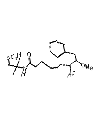 COC(CC1CCCCC1)C(CCCCC(=O)NC(C)(C)CS(=O)(=O)O)C(C)=O